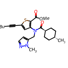 COC(=O)c1sc(C#CC(C)(C)C)cc1N(Cc1ccnn1C)C(=O)[C@H]1CC[C@H](C)CC1